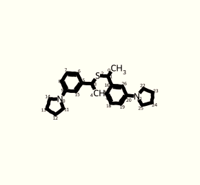 CC(SC(C)c1cccc(N2CCCC2)c1)c1cccc(N2CCCC2)c1